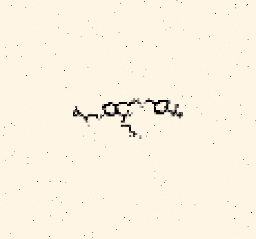 CCOC(=O)c1cc(OCC(=O)C2CC2)ccc1CC=NOCc1ccc(C(F)(F)F)cc1